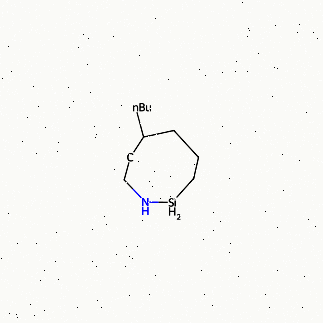 CCCCC1CCC[SiH2]NCC1